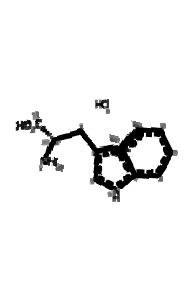 Cl.N[C@@H](Cc1c[nH]c2ccccc12)C(=O)O